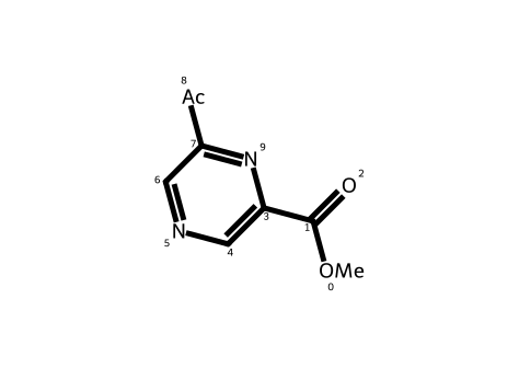 COC(=O)c1cncc(C(C)=O)n1